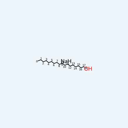 CCCCCCCCCCCCCCCCCCO.[NaH]